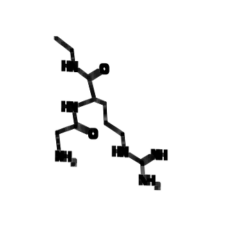 CCNC(=O)C(CCCNC(=N)N)NC(=O)CN